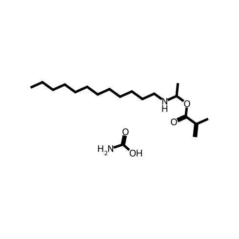 C=C(C)C(=O)OC(C)NCCCCCCCCCCCC.NC(=O)O